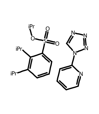 CC(C)OS(=O)(=O)c1cccc(C(C)C)c1C(C)C.c1ccc(-n2cnnn2)nc1